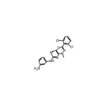 CN1N=C(c2c(Cl)cccc2Cl)Oc2cnc(Nc3cccc(N)c3)nc21